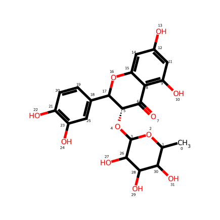 CC1OC(O[C@H]2C(=O)c3c(O)cc(O)cc3OC2c2ccc(O)c(O)c2)C(O)C(O)C1O